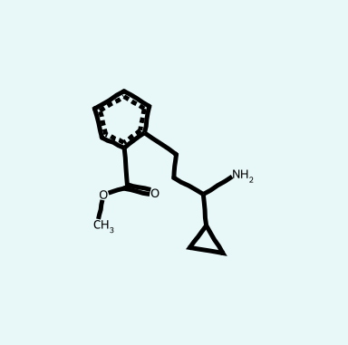 COC(=O)c1ccccc1CCC(N)C1CC1